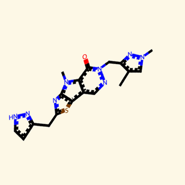 Cc1cn(C)nc1Cn1ncc2c3sc(Cc4cc[nH]n4)nc3n(C)c2c1=O